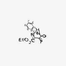 CCOC(=O)c1nc(-c2ccccc2)[nH]c(=O)c1F